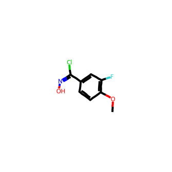 COc1ccc(/C(Cl)=N\O)cc1F